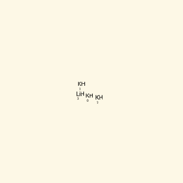 [KH].[KH].[KH].[LiH]